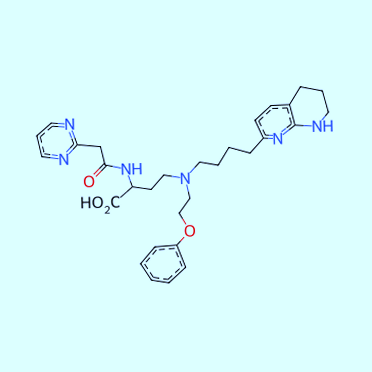 O=C(Cc1ncccn1)NC(CCN(CCCCc1ccc2c(n1)NCCC2)CCOc1ccccc1)C(=O)O